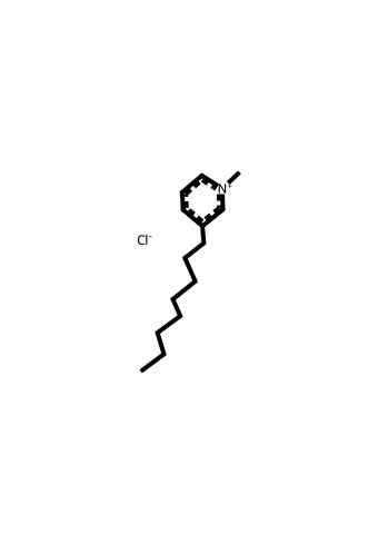 CCCCCCCCc1ccc[n+](C)c1.[Cl-]